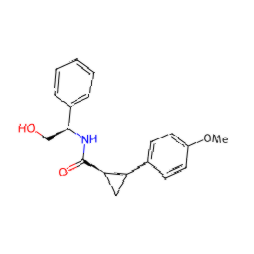 COc1ccc(C2C[C@H]2C(=O)N[C@@H](CO)c2ccccc2)cc1